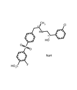 C[C@H](Cc1ccc(S(=O)(=O)c2ccc(C(=O)O)c(F)c2)cc1)NC[C@@H](O)c1cccc(Cl)c1.[NaH]